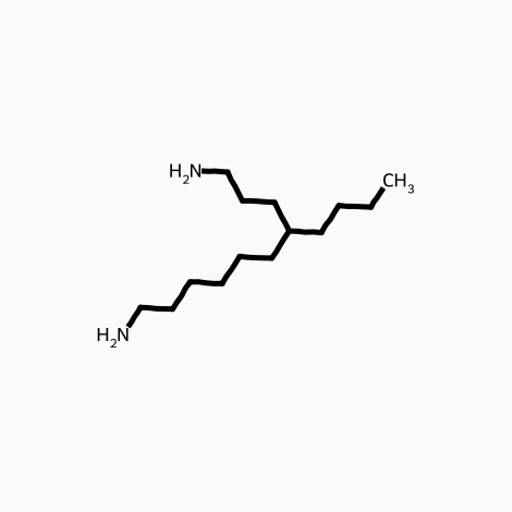 CCCCC(CCCN)CCCCCCN